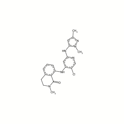 Cc1cc(Nc2cc(Nc3cccc4c3C(=O)N(C)CC4)c(Cl)cn2)n(C)n1